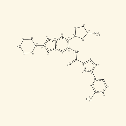 Cc1cc(-c2nc(C(=O)Nc3cc4oc(N5CCOCC5)nc4nc3N3CCC(N)C3)co2)ccn1